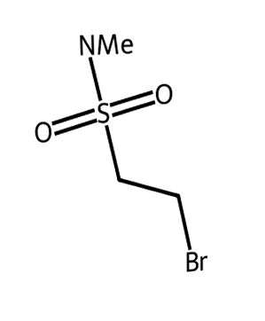 CNS(=O)(=O)CCBr